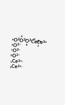 [Ce+3].[Ce+3].[Ce+3].[Ce+3].[O-2].[O-2].[O-2].[O-2].[O-2].[O-2]